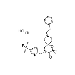 Cl.Cl.O=C1N(Cc2ccc(C(F)(F)F)cn2)CC2(CCN(CCc3ccccc3)CC2)OC12CC2